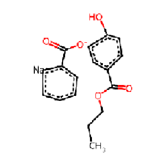 CCCOC(=O)c1ccc(O)cc1.O=C([O-])c1ccccc1.[Na+]